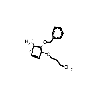 CCCCO[C@H]1C=CO[C@@H](C)[C@@H]1OCc1ccccc1